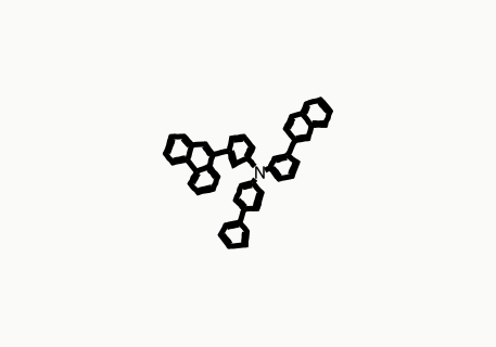 c1ccc(-c2ccc(N(c3cccc(-c4ccc5ccccc5c4)c3)c3cccc(-c4cc5ccccc5c5ccccc45)c3)cc2)cc1